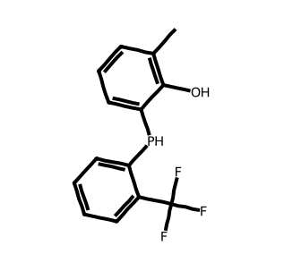 Cc1cccc(Pc2ccccc2C(F)(F)F)c1O